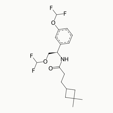 CC1(C)CC(CCC(=O)N[C@@H](COC(F)F)c2cccc(OC(F)F)c2)C1